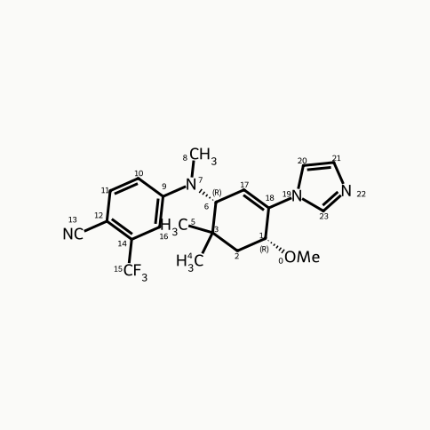 CO[C@@H]1CC(C)(C)[C@H](N(C)c2ccc(C#N)c(C(F)(F)F)c2)C=C1n1ccnc1